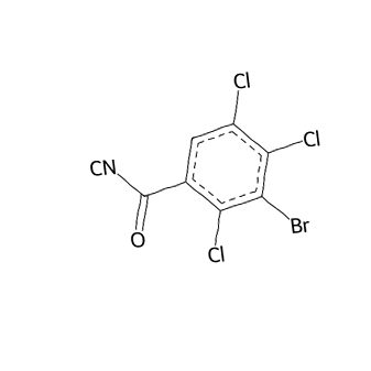 [C-]#[N+]C(=O)c1cc(Cl)c(Cl)c(Br)c1Cl